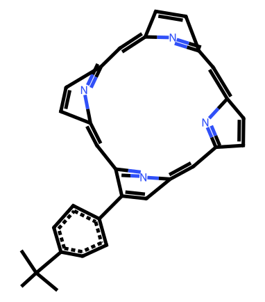 CC(C)(C)c1ccc(C2=CC3=CC4=NC(=CC5=NC(=CC6=NC(=CC2=N3)C=C6)C=C5)C=C4)cc1